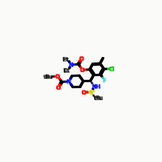 CCN(CC)C(=O)Oc1cc(C)c(Cl)c(F)c1[C@H](N[S@@+]([O-])C(C)(C)C)C1CCN(C(=O)OC(C)(C)C)CC1